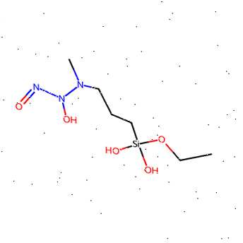 CCO[Si](O)(O)CCCN(C)N(O)N=O